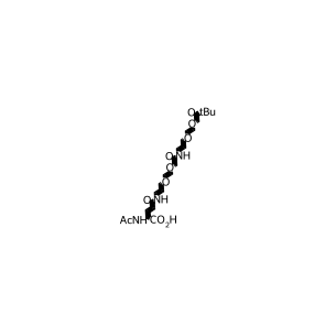 CC(=O)N[C@@H](CCC(=O)NCCCOCCOCC(=O)NCCCOCCOCC(=O)C(C)(C)C)C(=O)O